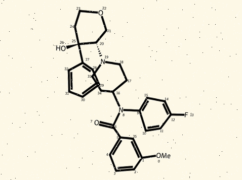 COc1cccc(C(=O)N(c2ccc(F)cc2)C2CCN([C@H]3COCC[C@@]3(O)c3ccccc3)CC2)c1